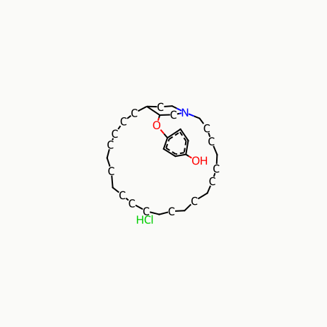 Cl.Oc1ccc(OC2CN3CCCCCCCCCCCCCCCCCCCCCC2CC3)cc1